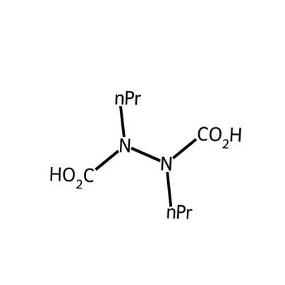 CCCN(C(=O)O)N(CCC)C(=O)O